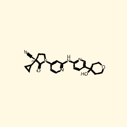 N#C[C@@]1(C2CC2)CCN(c2ccnc(Nc3ccc(C4(O)CCOCC4)cn3)c2)C1=O